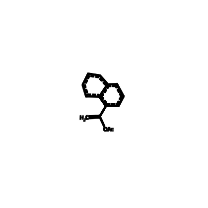 C=C(OC(C)=O)c1cccc2ccccc12